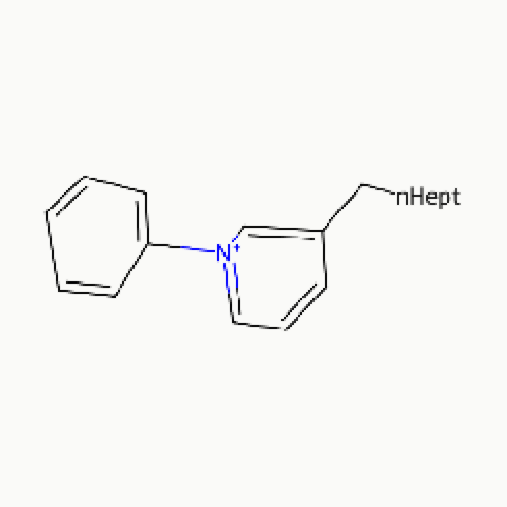 CCCCCCCCc1ccc[n+](-c2ccccc2)c1